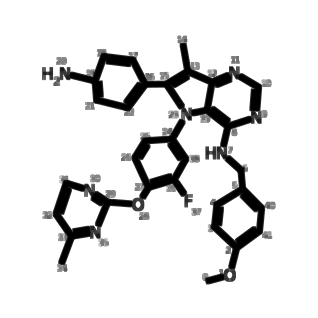 COc1ccc(CNc2ncnc3c(C)c(-c4ccc(N)cc4)n(-c4ccc(Oc5nccc(C)n5)c(F)c4)c23)cc1